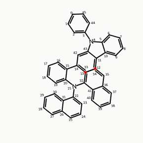 c1ccc(-n2c3ccccc3c3ccc(-c4ccccc4N(c4cccc5ccccc45)c4cccc5ccccc45)cc32)cc1